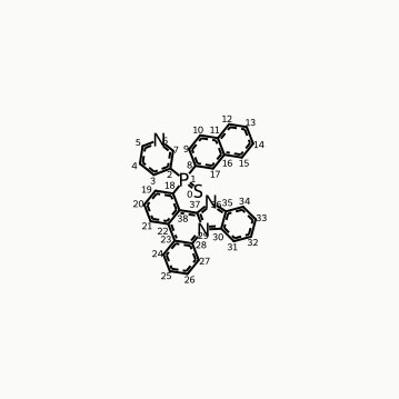 S=P(c1cccnc1)(c1ccc2ccccc2c1)c1cccc2c3ccccc3n3c4ccccc4nc3c12